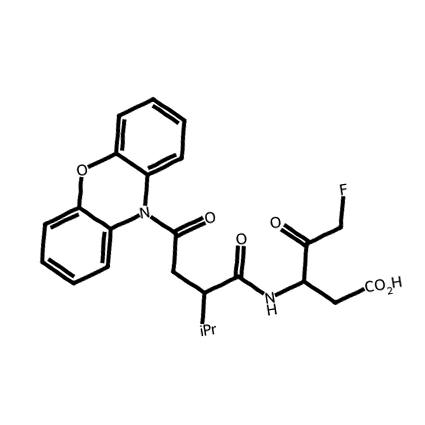 CC(C)C(CC(=O)N1c2ccccc2Oc2ccccc21)C(=O)NC(CC(=O)O)C(=O)CF